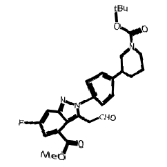 COC(=O)c1cc(F)cc2nn(-c3ccc(C4CCCN(C(=O)OC(C)(C)C)C4)cc3)c(CC=O)c12